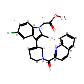 COC(=O)Cn1c(C)c(C2=CCCN(C(=O)c3ccc4ccccc4n3)C2)c2cc(F)ccc21